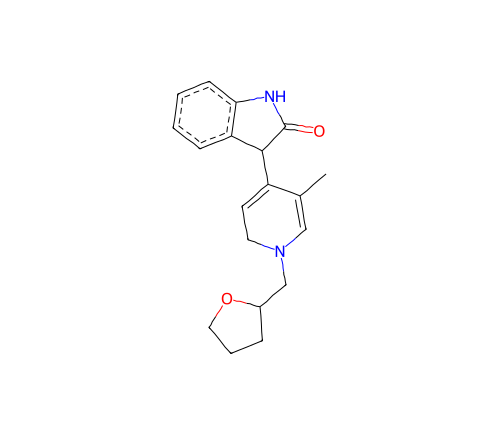 CC1=CN(CC2CCCO2)CC=C1C1C(=O)Nc2ccccc21